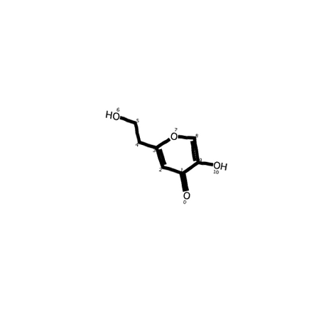 O=c1cc(CCO)occ1O